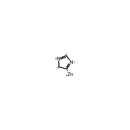 C1=NC=NC1.[Zn]